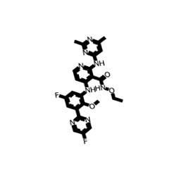 CCONC(=O)c1c(Nc2cc(F)cc(-c3ncc(F)cn3)c2OC)ccnc1Nc1cc(C)nc(C)n1